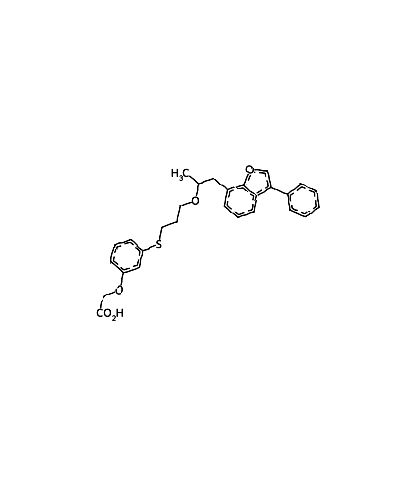 CC(Cc1cccc2c(-c3ccccc3)coc12)OCCCSc1cccc(OCC(=O)O)c1